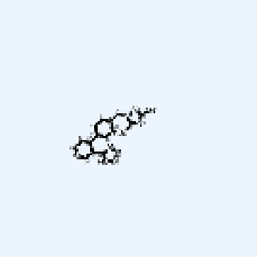 CCCCc1nc(CC)nn1Cc1ccc(-c2ccncc2-c2nnn[nH]2)cc1